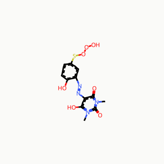 Cn1c(O)c(N=Nc2cc(SOOO)ccc2O)c(=O)n(C)c1=O